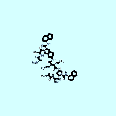 CN[C@@H](C)C(=O)N[C@H](C(=O)[C@@H]1C[C@H](NC(=O)[C@@H](CCC(F)(F)F)[C@@H](CCC(F)(F)F)C(=O)Nc2ccc3c(c2)CN(C(=O)[C@@H](NC(=O)[C@H](C)NC)C(C)(C)C)[C@H](C(=O)N[C@@H]2CCCc4ccccc42)C3)CN1C(=O)N[C@@H]1CCCc2ccccc21)C(C)(C)C